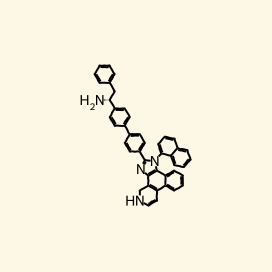 N[C@H](Cc1ccccc1)c1ccc(-c2ccc(-c3nc4c5c(c6ccccc6c4n3-c3cccc4ccccc34)C=CNC5)cc2)cc1